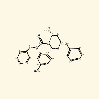 O=C(OCc1ccccc1)[C@@H]1[C@@H](c2ccc(Br)cc2)C[C@@H](Oc2ccccc2)C[C@H]1C(=O)O